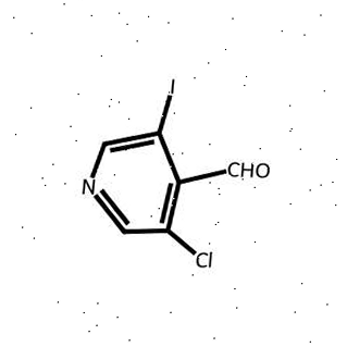 O=Cc1c(Cl)cncc1I